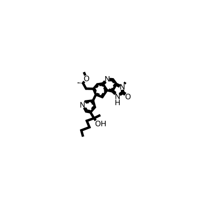 CCCCC(C)(O)c1cncc(-c2cc3c(cc2C[C@H](C)OC)ncc2c3[nH]c(=O)n2C)c1